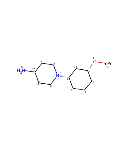 CCCO[C@@H]1CCC[C@H](N2CCC(N)CC2)C1